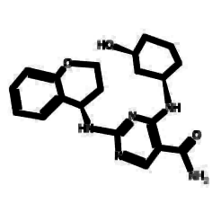 NC(=O)c1cnc(N[C@@H]2CCOc3ccccc32)nc1N[C@@H]1CCC[C@H](O)C1